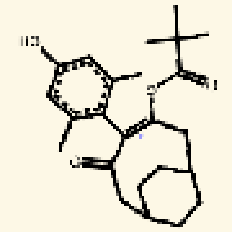 Cc1cc(O)cc(C)c1/C1=C(\OC(=O)C(C)(C)C)CC2CCC(CC2)CC1=O